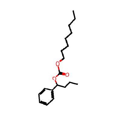 CCCCCCCCOC(=O)OC(CCC)c1ccccc1